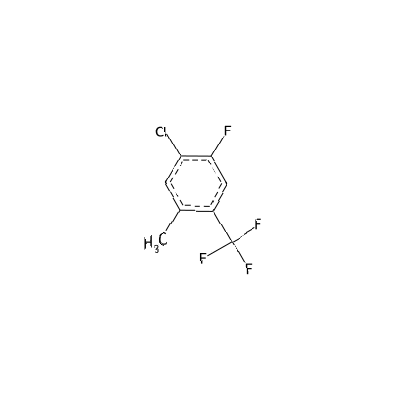 Cc1cc(Cl)c(F)cc1C(F)(F)F